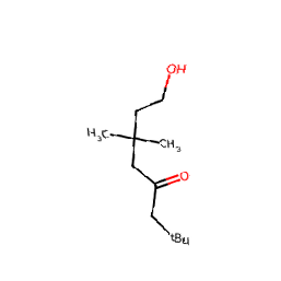 CC(C)(C)CC(=O)CC(C)(C)CCO